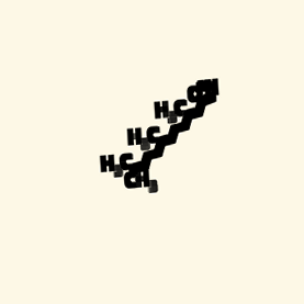 CC(C)=CCC/C(C)=C/CC/C(C)=C/c1cnco1